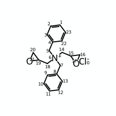 [Cl-].c1ccc(C[N+](Cc2ccccc2)(CC2CO2)CC2CO2)cc1